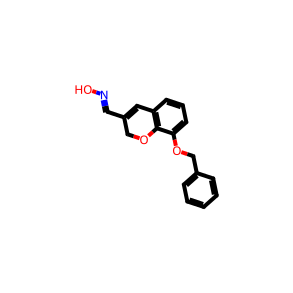 ON=CC1=Cc2cccc(OCc3ccccc3)c2OC1